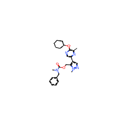 Cc1nc(-c2cnn(C)c2COC(=O)N(C)Cc2ccccc2)cnc1OC1CCCCC1